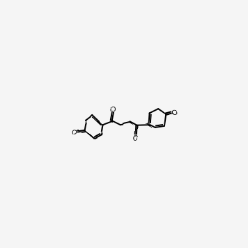 O=C1C=CC(C(=O)CCC(=O)C2=CCC(=O)C=C2)=CC1